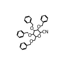 N#CC1OC(COCc2ccccc2)C(OCc2ccccc2)C(OCc2ccccc2)C1OCc1ccccc1